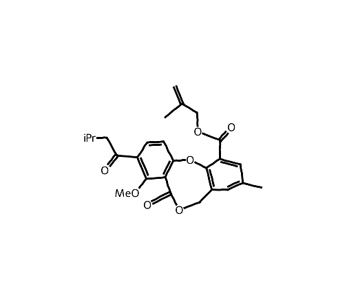 C=C(C)COC(=O)c1cc(C)cc2c1Oc1ccc(C(=O)CC(C)C)c(OC)c1C(=O)OC2